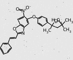 CC(C)(C)CC(C)(C)c1ccc(Oc2cc3nc(C=Cc4ccccc4)oc3cc2[N+](=O)[O-])cc1